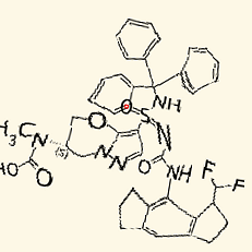 CN(C(=O)O)[C@@H]1COc2c(S(=O)(=NC(=O)Nc3c4c(cc5c3C(C(F)F)CC5)CCC4)NC(c3ccccc3)(c3ccccc3)c3ccccc3)cnn2C1